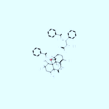 CC(=O)O[C@@]12CO[C@@H]1C[C@H](O)[C@@]1(C)C(=O)[C@H](O)C3=C(C)[C@@H](OC(=O)[C@H](O)[C@@H](NC(=O)c4ccccc4)c4ccccc4)C[C@@]4(O)[C@@H](OC(=O)c5ccccc5)C21[C@@]34C